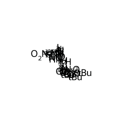 CC(C)(C)OC(=O)CC[C@H](NC(=O)N[C@@H](CCCCNC(=O)Cn1nnc(I)c1CNc1ccc([N+](=O)[O-])cc1[N+](=O)[O-])C(=O)OC(C)(C)C)C(=O)OC(C)(C)C